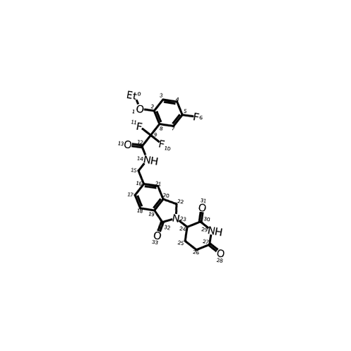 CCOc1ccc(F)cc1C(F)(F)C(=O)NCc1ccc2c(c1)CN(C1CCC(=O)NC1=O)C2=O